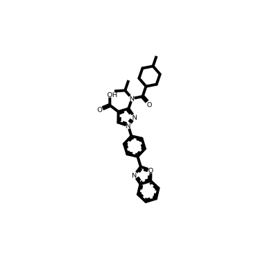 CC1CCC(C(=O)N(c2nn(-c3ccc(-c4nc5ccccc5o4)cc3)cc2C(=O)O)C(C)C)CC1